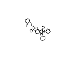 O=C(NCCc1ccccc1F)c1ccc2c(c1)c(=O)n(-c1ccccc1)n2C1CCCCC1